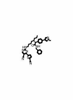 CCCC(CCCCNc1ncc(C#N)c(-c2ccc(C#N)s2)n1)[C@H](C(=O)NCc1ccccc1)c1ccc(-c2cnn(C)c2)cc1